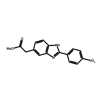 COC(=O)Cc1ccc2[nH]c(-c3ccc([N+](=O)[O-])cc3)nc2c1